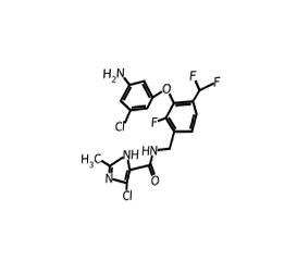 Cc1nc(Cl)c(C(=O)NCc2ccc(C(F)F)c(Oc3cc(N)cc(Cl)c3)c2F)[nH]1